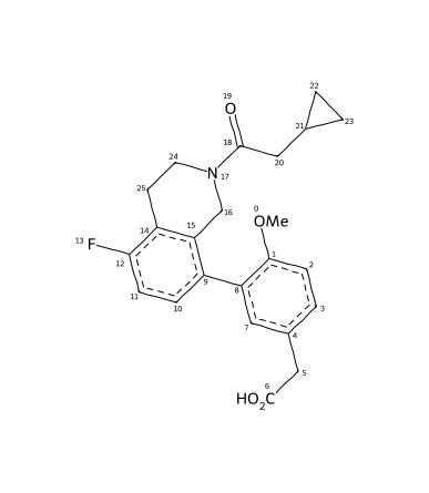 COc1ccc(CC(=O)O)cc1-c1ccc(F)c2c1CN(C(=O)CC1CC1)CC2